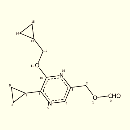 O=COCc1cnc(C2CC2)c(OCC2CC2)n1